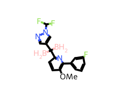 BC(B)(c1cnn(C(F)F)c1)c1ccc(OC)c(-c2cccc(F)c2)n1